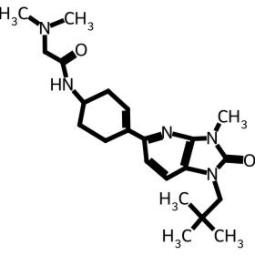 CN(C)CC(=O)NC1CC=C(c2ccc3c(n2)n(C)c(=O)n3CC(C)(C)C)CC1